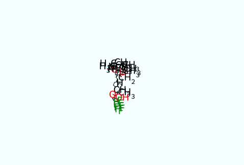 C=C1C(=CC=C2CCC[C@]3(C)[C@@H]([C@H](C)C=CC(=O)C4(C(O)C(F)(F)C(F)(F)C(F)(F)C(F)(F)F)CC4)CC[C@@H]23)CC(O[Si](C)(C)C(C)(C)C)CC1O[Si](C)(C)C(C)(C)C